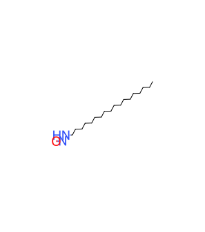 CCCCCCCCCCCCCCCCCCNN=O